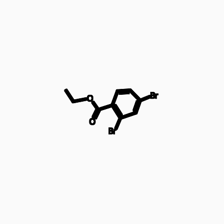 CCOC(=O)c1ccc(Br)cc1Br